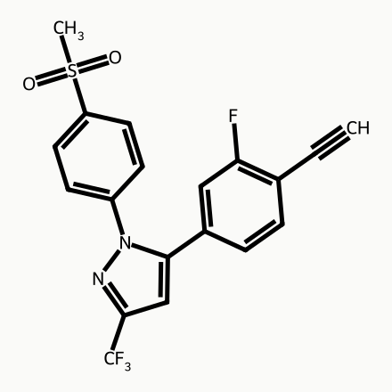 C#Cc1ccc(-c2cc(C(F)(F)F)nn2-c2ccc(S(C)(=O)=O)cc2)cc1F